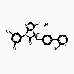 C[C@@]1(Cc2ccc(-c3cccnc3C#N)cc2)C(=O)N(c2cc(Cl)cc(Cl)c2)c2ncc(S(=O)(=O)O)n21